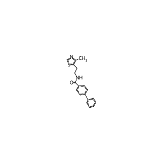 Cc1ncsc1CCNC(=O)c1ccc(-c2ccccc2)cc1